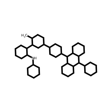 CC1CCC(C2CCC(C3C4CCCCC4C(C4CCCCC4)C4CCCCC43)CC2)CC1C1CCCCC1NC1CCCCC1